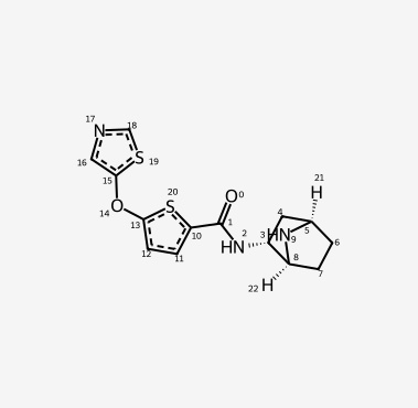 O=C(N[C@@H]1C[C@H]2CC[C@@H]1N2)c1ccc(Oc2cncs2)s1